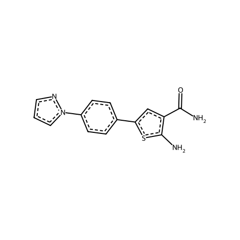 NC(=O)c1cc(-c2ccc(-n3cccn3)cc2)sc1N